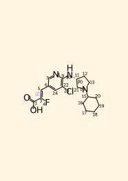 O=C(O)/C(F)=C/c1cnc(N[C@@H]2CCN(C3CCCCC3)C2)c(Cl)c1